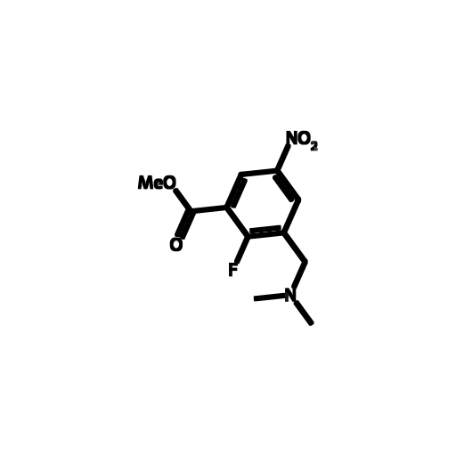 COC(=O)c1cc([N+](=O)[O-])cc(CN(C)C)c1F